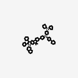 CC1(C)c2cc(-c3ccc(N(c4ccc(-c5ccccc5)cc4)c4ccc(N(c5ccccc5)c5ccccc5)cc4)cc3)ccc2-c2cc3c(-c4ccccc4)c(-c4ccccc4)n(-c4ccc5ccccc5c4)c3cc21